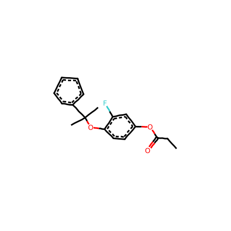 CCC(=O)Oc1ccc(OC(C)(C)c2ccccc2)c(F)c1